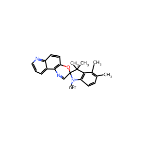 CCCN1c2ccc(C)c(C)c2C(C)(C)C12C=Nc1c(ccc3ncccc13)O2